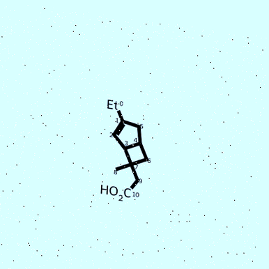 CCC1=CC2C(C1)CC2(C)CC(=O)O